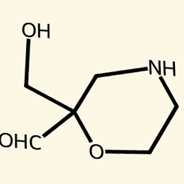 O=CC1(CO)CNCCO1